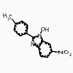 Cc1ccc(-c2nc3ccc([N+](=O)[O-])cc3n2O)cc1